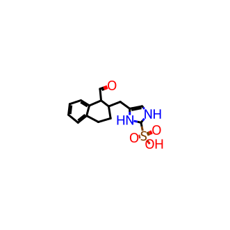 O=CC1c2ccccc2CCC1CC1=CNC(S(=O)(=O)O)N1